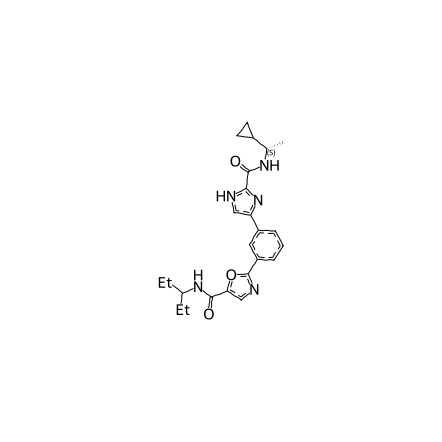 CCC(CC)NC(=O)c1cnc(-c2cccc(-c3c[nH]c(C(=O)N[C@@H](C)C4CC4)n3)c2)o1